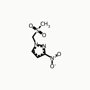 CS(=O)(=O)Cn1ccc([N+](=O)[O-])n1